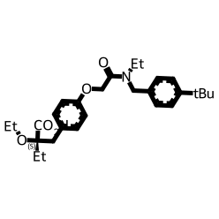 CCO[C@@](CC)(Cc1ccc(OCC(=O)N(CC)Cc2ccc(C(C)(C)C)cc2)cc1)C(=O)O